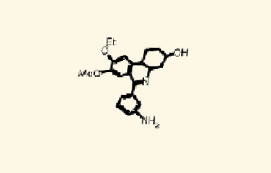 CCOc1cc2c(cc1OC)C(c1cccc(N)c1)=NC1CC(O)CCC21